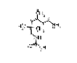 CC(=O)NCC(C)(C)CC(C)CCN